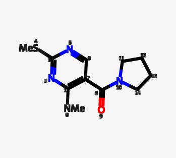 CNc1nc(SC)ncc1C(=O)N1CCCC1